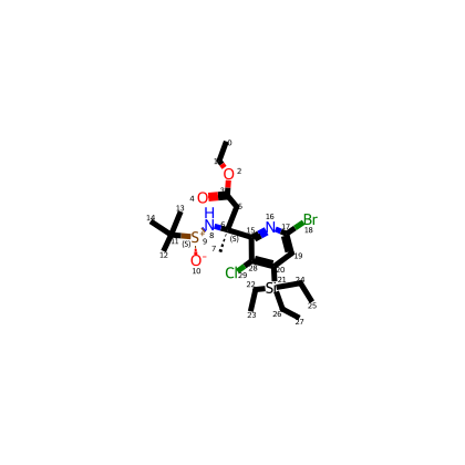 CCOC(=O)C[C@](C)(N[S@+]([O-])C(C)(C)C)c1nc(Br)cc([Si](CC)(CC)CC)c1Cl